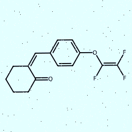 O=C1CCCCC1=Cc1ccc(OC(F)=C(F)F)cc1